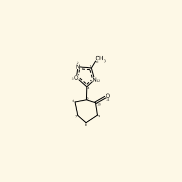 Cc1noc(C2CCCCC2=O)n1